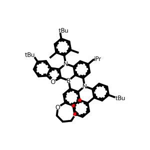 Cc1cc(C(C)(C)C)cc(C)c1N1c2cc(C(C)C)cc3c2B(c2cc4c(cc2N3c2ccc(C(C)(C)C)cc2-c2ccccc2)OCCCO4)c2oc3ccc(C(C)(C)C)cc3c21